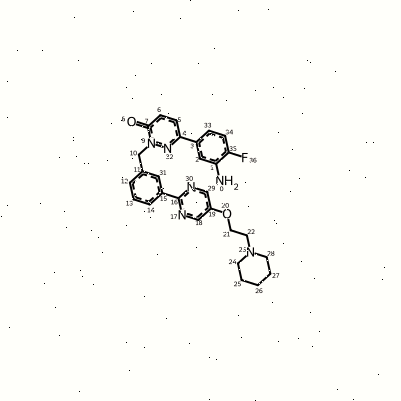 Nc1cc(-c2ccc(=O)n(Cc3cccc(-c4ncc(OCCN5CCCCC5)cn4)c3)n2)ccc1F